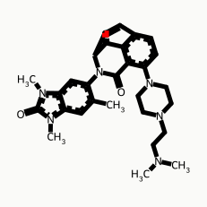 Cc1cc2c(cc1N1C(=O)c3c(N4CCN(CCN(C)C)CC4)ccc4c3C(=O)C1C=C4)n(C)c(=O)n2C